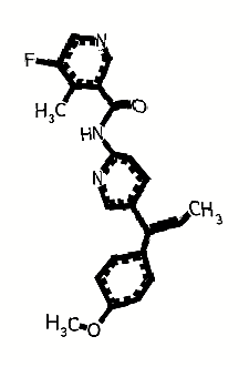 C/C=C(/c1ccc(OC)cc1)c1ccc(NC(=O)c2cncc(F)c2C)nc1